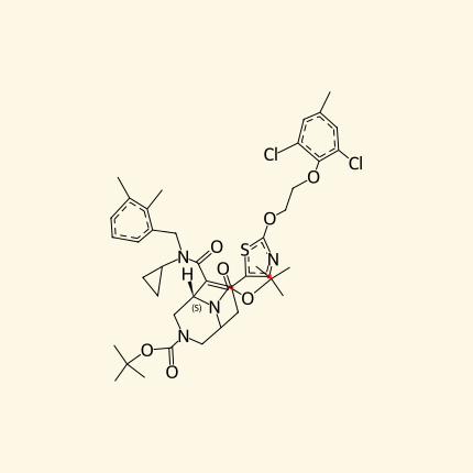 Cc1cc(Cl)c(OCCOc2ncc(C3=C(C(=O)N(Cc4cccc(C)c4C)C4CC4)[C@H]4CN(C(=O)OC(C)(C)C)CC(C3)N4C(=O)OC(C)(C)C)s2)c(Cl)c1